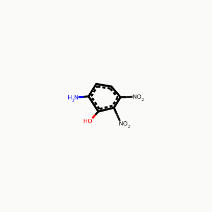 Nc1ccc([N+](=O)[O-])c([N+](=O)[O-])c1O